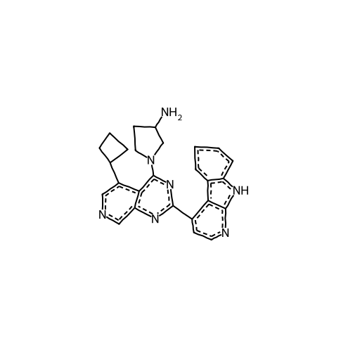 NC1CCN(c2nc(-c3ccnc4[nH]c5ccccc5c34)nc3cncc(C4CCC4)c23)C1